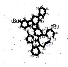 Cc1ccc2[n+](c1)C1c3cc4c(cc3-c3cc(C(C)(C)C)cc[n+]3/C=C/CC1c1ccccc1-2)c1c2oc3ccccc3c2cc2c3cc(C(C)(C)C)ccc3n4c21